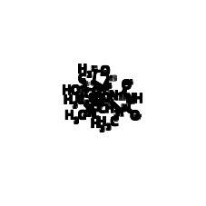 Cc1cn([C@@H]2O[C@@]3(C(C)(C)O)COC2C3O[Si](C)(C)C(C)(C)C)c(=O)[nH]c1=O